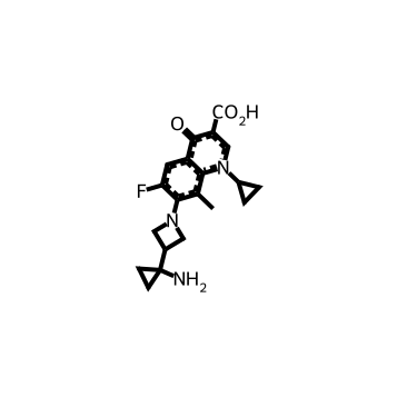 Cc1c(N2CC(C3(N)CC3)C2)c(F)cc2c(=O)c(C(=O)O)cn(C3CC3)c12